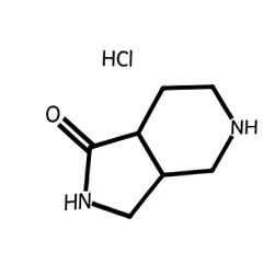 Cl.O=C1NCC2CNCCC12